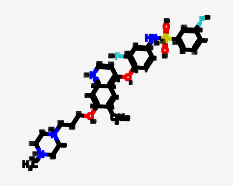 COc1cc2c(Oc3ccc(NS(=O)(=O)c4cccc(F)c4)cc3F)ccnc2cc1OCCCN1CCN(C)CC1